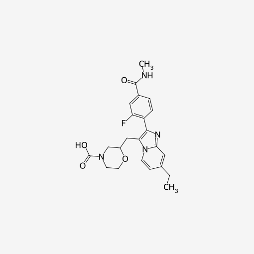 CCc1ccn2c(CC3CN(C(=O)O)CCO3)c(-c3ccc(C(=O)NC)cc3F)nc2c1